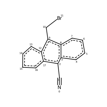 N#Cc1c2ccccc2c(CBr)c2ccccc12